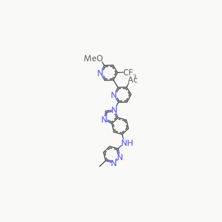 COc1cc(C(F)(F)F)c(-c2nc(-n3cnc4cc(Nc5ccc(C)nn5)ccc43)ccc2C(C)=O)cn1